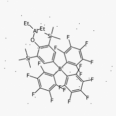 C[CH2][Al]([CH2]C)[O]c1c([Si](C)(C)C)cc([B-](c2c(F)c(F)c(F)c(F)c2F)(c2c(F)c(F)c(F)c(F)c2F)c2c(F)c(F)c(F)c(F)c2F)cc1[Si](C)(C)C